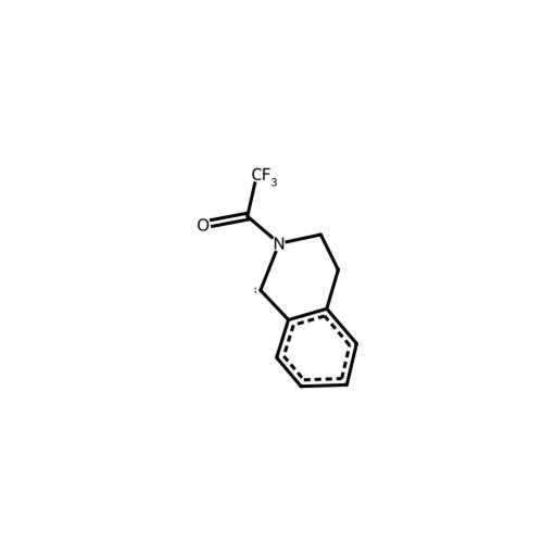 O=C(N1[C]c2ccccc2CC1)C(F)(F)F